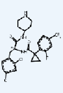 O=C(NC1CCNCC1)[C@H](Cc1ccc(Cl)cc1Cl)NC(=O)C1(c2ccc(C(F)(F)F)cc2F)CC1